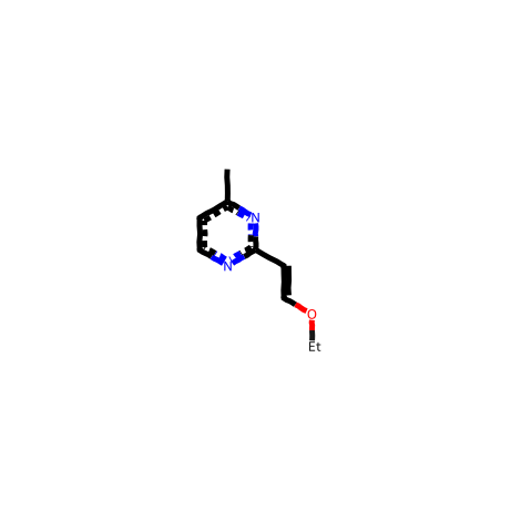 CCO/C=C/c1nccc(C)n1